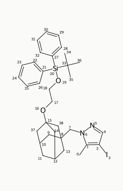 Cc1c(I)cnn1CC12CC3CC(C1)CC(OCCO[Si](c1ccccc1)(c1ccccc1)C(C)(C)C)(C3)C2